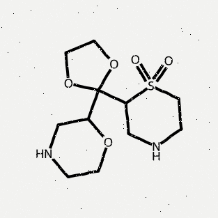 O=S1(=O)CCNCC1C1(C2CNCCO2)OCCO1